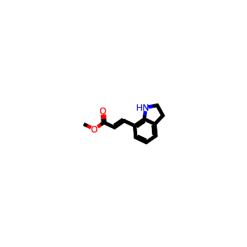 COC(=O)/C=C/c1cccc2c1NCC2